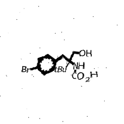 CC(C)(C)[C@](CO)(Cc1ccc(Br)cc1)NC(=O)O